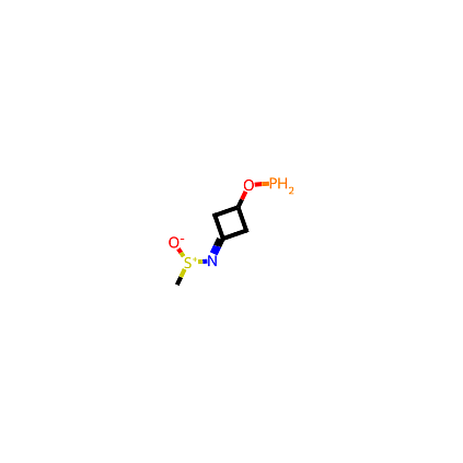 C[S+]([O-])N=C1CC(OP)C1